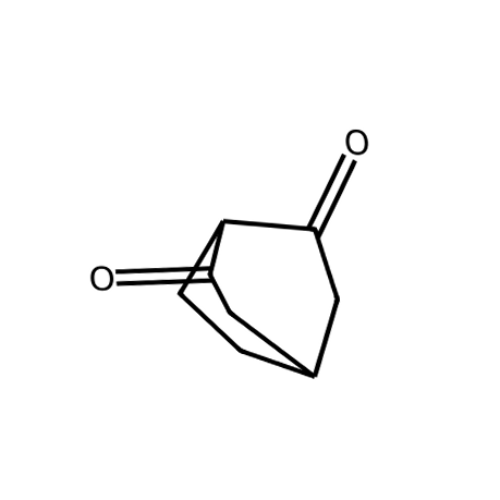 O=C1CC2CCC1C(=O)C2